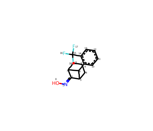 ON=C1C2CCCC1C2c1ccccc1C(F)(F)F